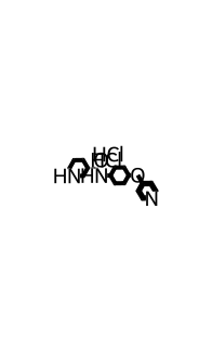 Cl.Cl.O=C(NC1CCC(Oc2ccncc2)CC1)[C@H]1CCCNC1